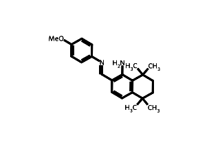 COc1ccc(N=Cc2ccc3c(c2N)C(C)(C)CCC3(C)C)cc1